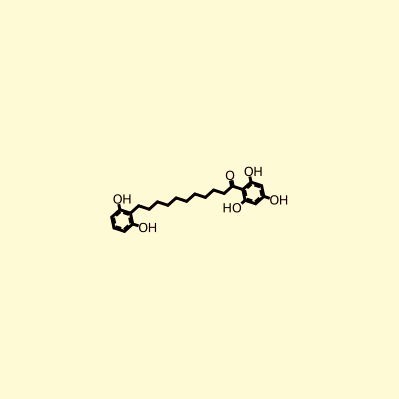 O=C(CCCCCCCCCCc1c(O)cccc1O)c1c(O)cc(O)cc1O